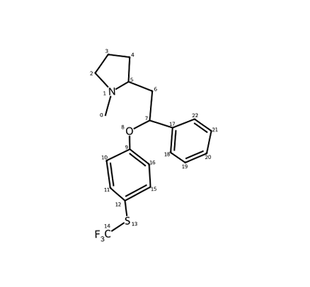 CN1CCCC1CC(Oc1ccc(SC(F)(F)F)cc1)c1ccccc1